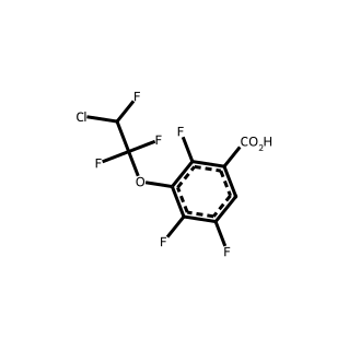 O=C(O)c1cc(F)c(F)c(OC(F)(F)C(F)Cl)c1F